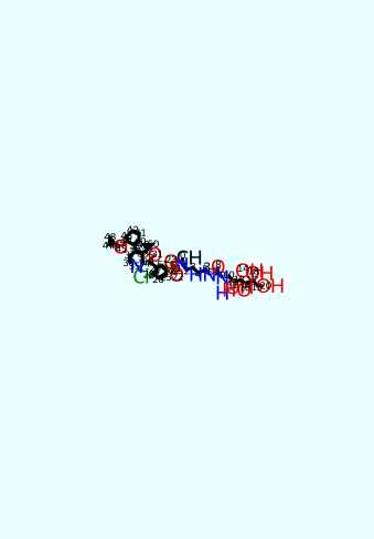 CN(CCCCNC(=O)NC[C@@H](O)[C@H](O)[C@@H](O)[C@@H](O)CO)S(=O)(=O)c1ccc(Cl)c(COC2(c3cnccc3-c3ccccc3OC3CC3)CC2)c1